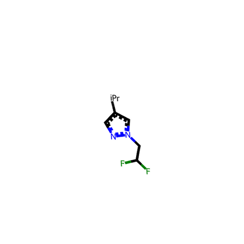 CC(C)c1cnn(CC(F)F)c1